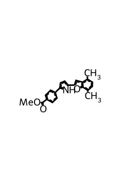 COC(=O)c1ccc(-c2ccc(-c3cc4c(C)ccc(C)c4o3)[nH]2)cc1